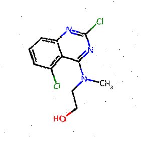 CN(CCO)c1nc(Cl)nc2cccc(Cl)c12